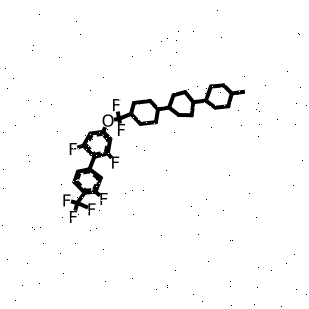 CC1CCC(C2CCC(C3CCC(C(F)(F)Oc4cc(F)c(-c5ccc(C(F)(F)F)c(F)c5)c(F)c4)CC3)CC2)CC1